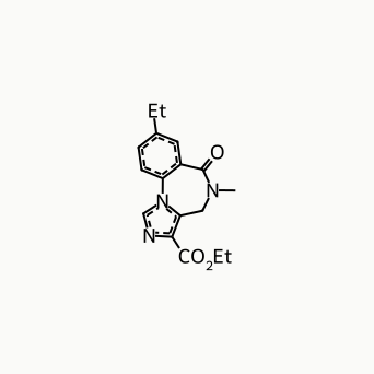 CCOC(=O)c1ncn2c1CN(C)C(=O)c1cc(CC)ccc1-2